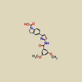 COc1cc(OC)cc(C(=O)Nc2nc(-c3ccc4c(c3)CCN4C(=O)O)cs2)c1